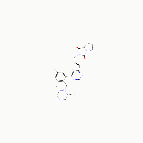 Cc1cc(Cl)cc(-c2ncnc3cc(CN4C(=O)[C@@H]5CCCN5C4=O)sc23)c1CN1[C@@H](C)CNC[C@@H]1C